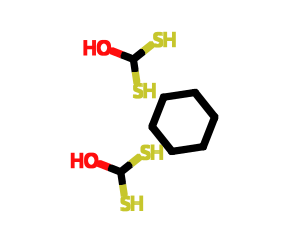 C1CCCCC1.OC(S)S.OC(S)S